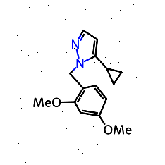 COc1ccc(Cn2nccc2C2CC2)c(OC)c1